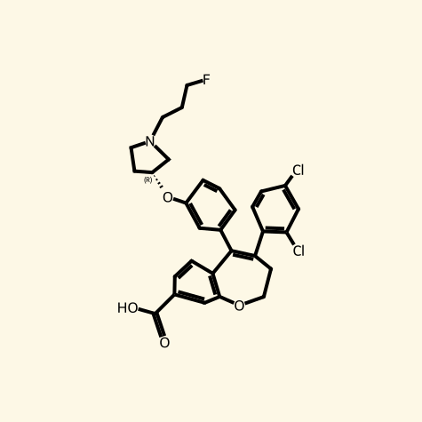 O=C(O)c1ccc2c(c1)OCCC(c1ccc(Cl)cc1Cl)=C2c1cccc(O[C@@H]2CCN(CCCF)C2)c1